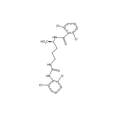 O=C(NCCC[C@H](NC(=O)c1c(Cl)cccc1Cl)C(=O)O)Nc1c(Cl)cccc1Cl